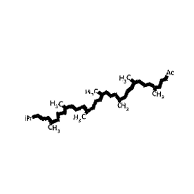 CC(=O)CCCC(C)CCCC(C)CCCC(C)CCCC(C)CCCC(C)CCCC(C)CCCC(C)CCCC(C)C